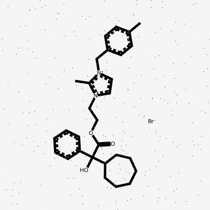 Cc1ccc(C[n+]2ccn(CCOC(=O)C(O)(c3ccccc3)C3CCCCCC3)c2C)cc1.[Br-]